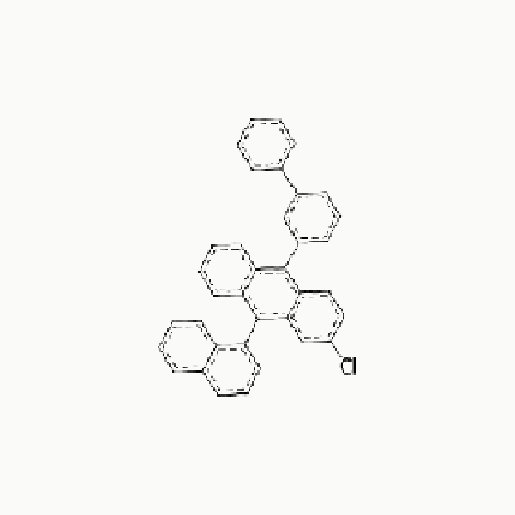 Clc1ccc2c(-c3cccc(-c4ccccc4)c3)c3ccccc3c(-c3cccc4ccccc34)c2c1